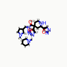 CN1CCC[C@H](CN2CCC(CNC(=O)C3(c4cnno4)CCNC(c4cnno4)C3)C2)C1